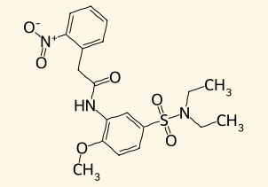 CCN(CC)S(=O)(=O)c1ccc(OC)c(NC(=O)Cc2ccccc2[N+](=O)[O-])c1